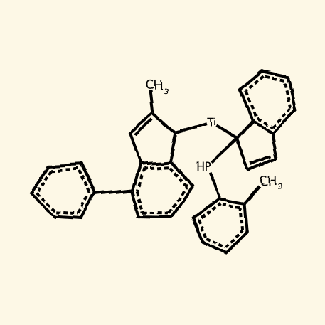 CC1=Cc2c(-c3ccccc3)cccc2[CH]1[Ti][C]1(Pc2ccccc2C)C=Cc2ccccc21